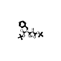 CC(C)(C)OC(=O)NC(=N)N(Cc1cc[c]cc1)C(=O)OC(C)(C)C